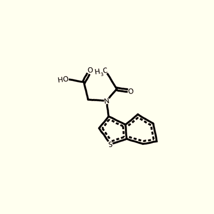 CC(=O)N(CC(=O)O)c1csc2ccccc12